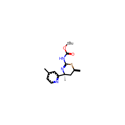 C=C1C[C@@](C)(c2cc(C)ccn2)N=C(NC(=O)OC(C)(C)C)S1